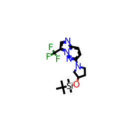 CC(C)(C)[Si](C)(C)OC1CCN(c2ccc3ncc(C(F)(F)F)n3n2)C1